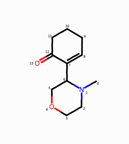 CN1CCOCC1C1=CCCCC1=O